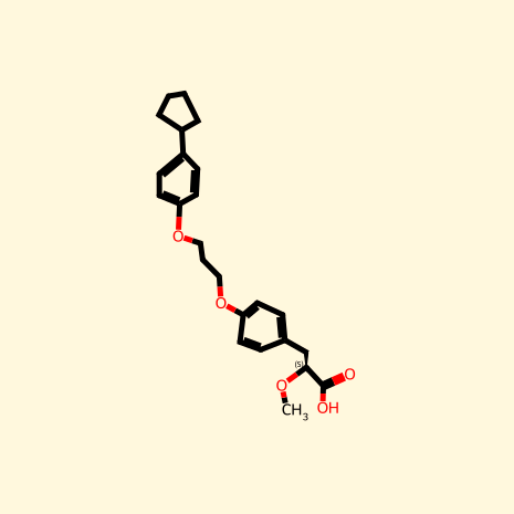 CO[C@@H](Cc1ccc(OCCCOc2ccc(C3CCCC3)cc2)cc1)C(=O)O